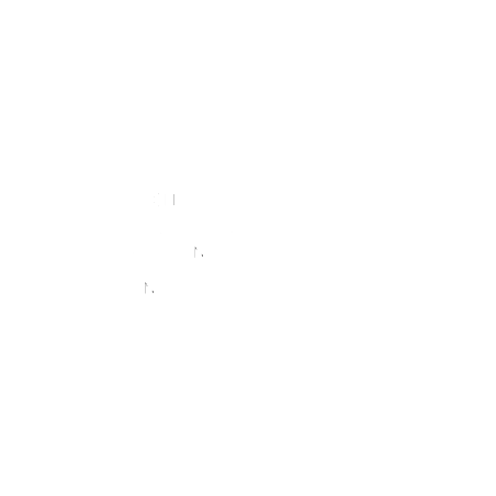 Cc1cnc2ccc(-c3ccccc3)cn12